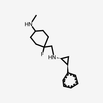 CNC1CCC(F)(CN[C@@H]2C[C@H]2c2ccccc2)CC1